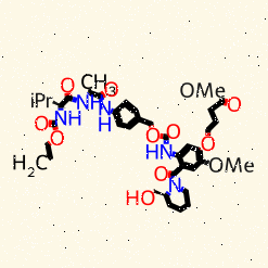 C=CCOC(=O)N[C@H](C(=O)N[C@@H](C)C(=O)Nc1ccc(COC(=O)Nc2cc(OCCCC(=O)OC)c(OC)cc2C(=O)N2CCCC[C@H]2CO)cc1)C(C)C